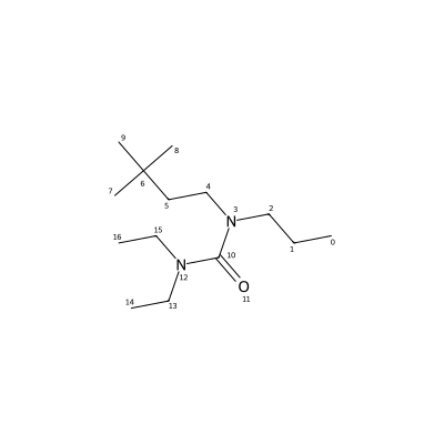 CCCN(CCC(C)(C)C)C(=O)N(CC)CC